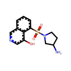 NC1CCN(S(=O)(=O)c2cccc3cncc(O)c23)C1